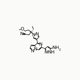 CC[C@](CC#N)(CCOC)n1cc(-c2nc(-c3cc(N)[nH]n3)cn3nccc23)cn1